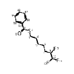 O=C(SCCCCCC(F)C(F)F)c1ccccc1